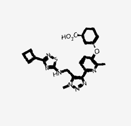 Cc1nc(-c2nnn(C)c2CNc2nc(C3CCC3)ns2)ccc1O[C@H]1CCC[C@H](C(=O)O)C1